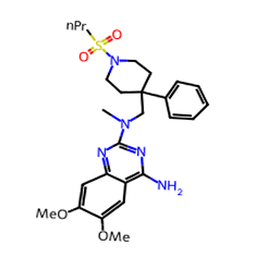 CCCS(=O)(=O)N1CCC(CN(C)c2nc(N)c3cc(OC)c(OC)cc3n2)(c2ccccc2)CC1